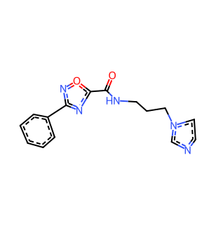 O=C(NCCCn1ccnc1)c1nc(-c2ccccc2)no1